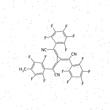 Cc1c(F)c(F)c(/C(C#N)=C2/C(=C(C#N)c3c(F)c(F)c(F)c(F)c3F)/C2=C(/C#N)c2c(F)c(F)c(F)c(F)c2F)c(F)c1F